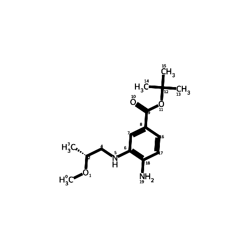 CO[C@H](C)CNc1cc(C(=O)OC(C)(C)C)ccc1N